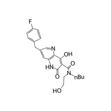 CCCCN(CCO)C(=O)c1c(O)c2ncc(Cc3ccc(F)cc3)cc2[nH]c1=O